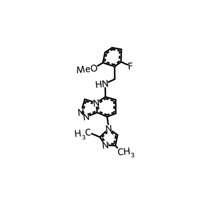 COc1cccc(F)c1CNc1ccc(-n2cc(C)nc2C)c2nncn12